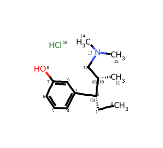 CC[C@H](c1cccc(O)c1)[C@@H](C)CN(C)C.Cl